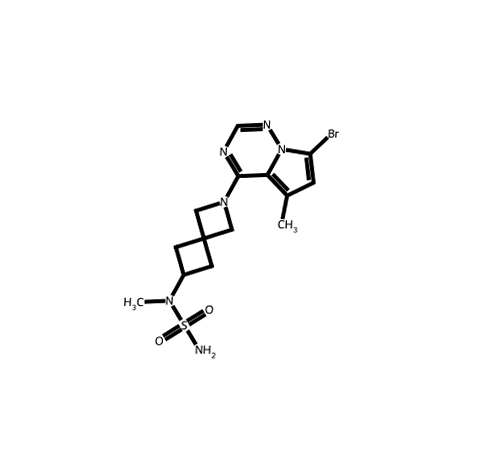 Cc1cc(Br)n2ncnc(N3CC4(CC(N(C)S(N)(=O)=O)C4)C3)c12